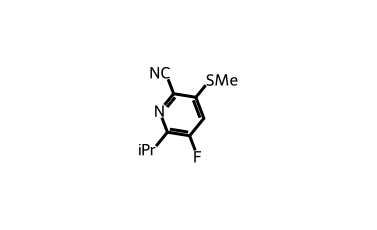 CSc1cc(F)c(C(C)C)nc1C#N